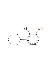 CCc1c(O)cccc1C1CCCCC1